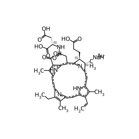 C=Cc1c(C)c2cc3nc(c(CC(=O)N[C@@H](CC(=O)O)C(=O)O)c4[nH]c(cc5nc(cc1[nH]2)C(C)=C5CC)c(C)c4C(=O)O)[C@@H](CCC(=O)O)[C@@H]3C.[Au].[NaH]